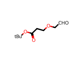 CC(C)(C)OC(=O)CCOCC=O